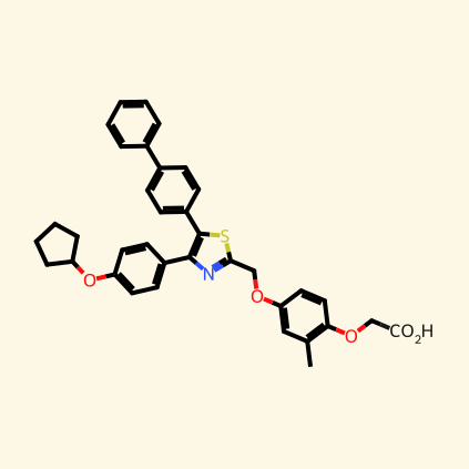 Cc1cc(OCc2nc(-c3ccc(OC4CCCC4)cc3)c(-c3ccc(-c4ccccc4)cc3)s2)ccc1OCC(=O)O